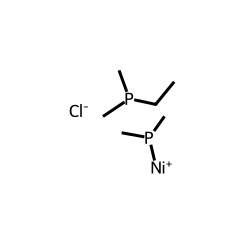 CCP(C)C.C[P](C)[Ni+].[Cl-]